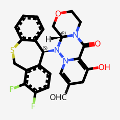 O=CC1=CN2C(=C(O)C1)C(=O)N1CCOC[C@H]1N2[C@@H]1c2ccccc2SCc2c1ccc(F)c2F